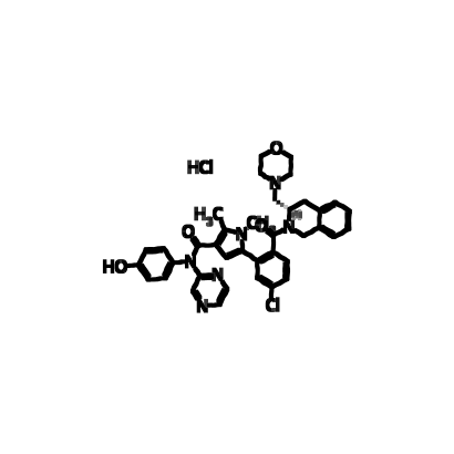 Cc1c(C(=O)N(c2ccc(O)cc2)c2cnccn2)cc(-c2cc(Cl)ccc2C(=O)N2Cc3ccccc3C[C@H]2CN2CCOCC2)n1C.Cl